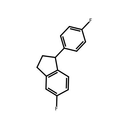 Fc1ccc(C2CCc3cc(F)ccc32)cc1